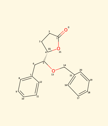 O=C1CC[C@@H](C(Cc2ccccc2)OCc2ccccc2)O1